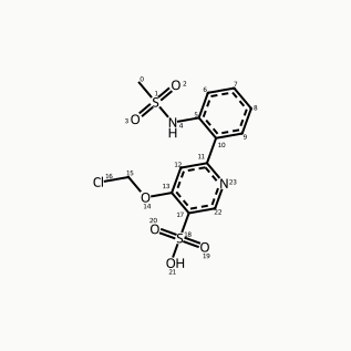 CS(=O)(=O)Nc1ccccc1-c1cc(OCCl)c(S(=O)(=O)O)cn1